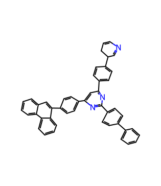 C1=CN=CC(c2ccc(-c3cc(-c4ccc(-c5cc6ccccc6c6ccccc56)cc4)nc(-c4ccc(-c5ccccc5)cc4)n3)cc2)C1